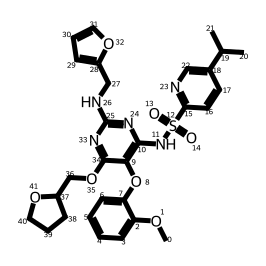 COc1ccccc1Oc1c(NS(=O)(=O)c2ccc(C(C)C)cn2)nc(NCc2ccco2)nc1OCC1CCCO1